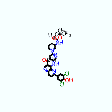 CC(=O)c1cnc2ccc(-c3cc(Cl)c(O)c(Cl)c3)nc2c1Nc1ccc(N2CCC[C@H](NC(=O)OC(C)(C)C)C2)nc1